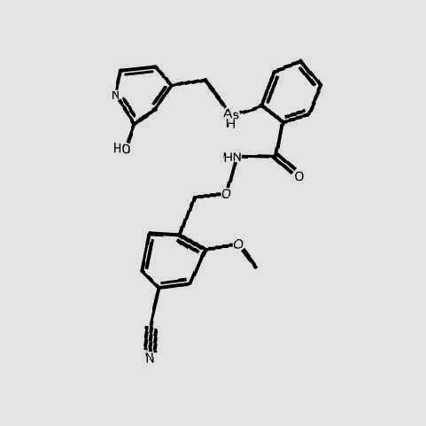 COc1cc(C#N)ccc1CONC(=O)c1ccccc1[AsH]Cc1ccnc(O)c1